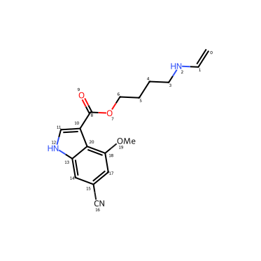 C=CNCCCCOC(=O)c1c[nH]c2cc(C#N)cc(OC)c12